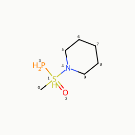 C[SH](=O)(P)N1CCCCC1